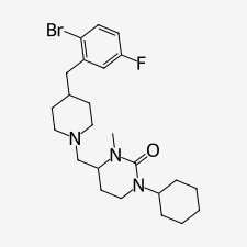 CN1C(=O)N(C2CCCCC2)CCC1CN1CCC(Cc2cc(F)ccc2Br)CC1